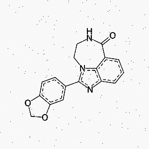 O=C1NCCn2c(-c3ccc4c(c3)OCO4)nc3cccc1c32